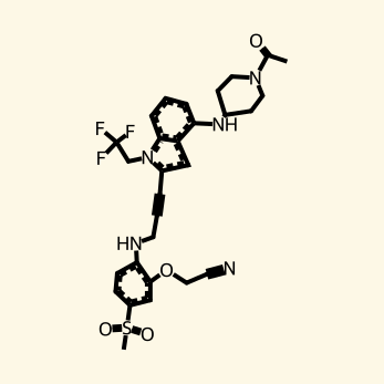 CC(=O)N1CCC(Nc2cccc3c2cc(C#CCNc2ccc(S(C)(=O)=O)cc2OCC#N)n3CC(F)(F)F)CC1